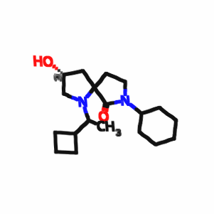 CC(C1CCC1)N1C[C@H](O)CC12CCN(C1CCCCC1)C2=O